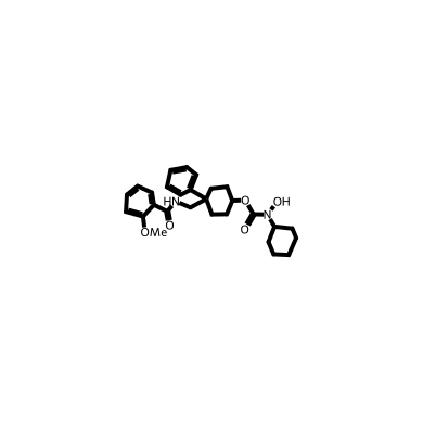 COc1ccccc1C(=O)NCC1(c2ccccc2)CCC(OC(=O)N(O)C2CCCCC2)CC1